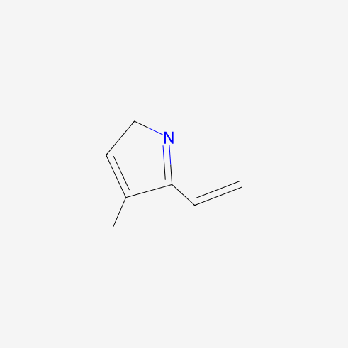 C=CC1=NCC=C1C